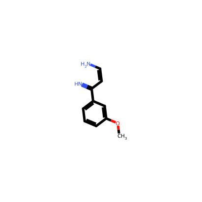 COc1cccc(C(=N)/C=C\N)c1